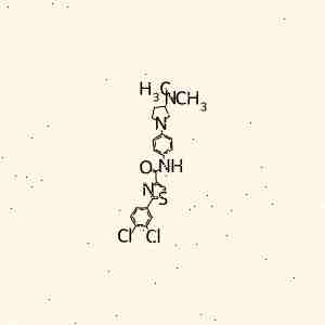 CN(C)C1CCN(c2ccc(NC(=O)c3csc(-c4ccc(Cl)c(Cl)c4)n3)cc2)C1